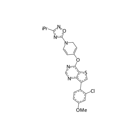 COc1ccc(-c2csc3c(OC4=CCN(c5nc(C(C)C)no5)C=C4)ncnc23)c(Cl)c1